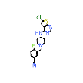 N#Cc1ccc(F)c(CN2CCC(Nc3ncnc4sc(Cl)cc34)CC2)c1